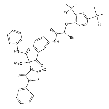 CCC(Oc1ccc(C(C)(C)CC)cc1C(C)(C)CC)C(=O)Nc1cccc(C(=O)C(OC)(C(=O)Nc2ccccc2)N2C(=O)CN(c3ccccc3)C2=O)c1